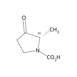 C[C@H]1C(=O)CCN1C(=O)O